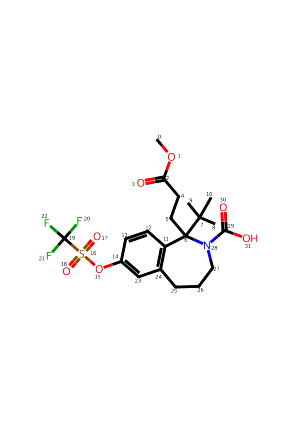 COC(=O)CCC1(C(C)(C)C)c2ccc(OS(=O)(=O)C(F)(F)F)cc2CCCN1C(=O)O